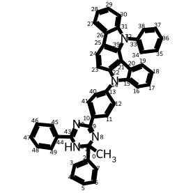 CC1(c2ccccc2)N=C(c2ccc(-n3c4ccccc4c4c3ccc3c5ccccc5n(-c5ccccc5)c34)cc2)N=C(c2ccccc2)N1